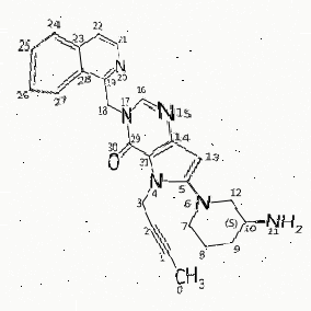 CC#CCn1c(N2CCC[C@H](N)C2)cc2ncn(Cc3nccc4ccccc34)c(=O)c21